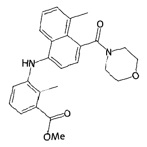 COC(=O)c1cccc(Nc2ccc(C(=O)N3CCOCC3)c3c(C)cccc23)c1C